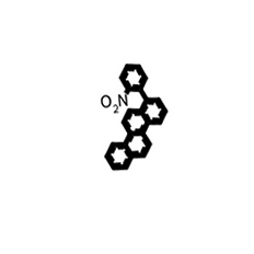 O=[N+]([O-])c1ccccc1-c1cccc2c1ccc1c3ccccc3ccc21